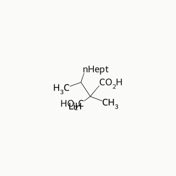 CCCCCCCC(C)C(C)(C(=O)O)C(=O)O.[LiH]